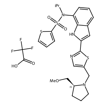 COC[C@@H]1CCCN1Cc1cnc(-c2cc3cccc(N(C(C)C)S(=O)(=O)c4cccs4)c3[nH]2)s1.O=C(O)C(F)(F)F